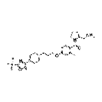 Cc1cc(OCCCC2CCN(c3noc(C(C)(F)F)n3)CC2)ccc1C(=O)N1CCCC1CN